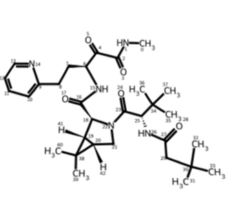 CNC(=O)C(=O)[C@H](CCc1ccccn1)NC(=O)[C@@H]1[C@@H]2[C@H](CN1C(=O)[C@@H](NC(=O)CC(C)(C)C)C(C)(C)C)C2(C)C